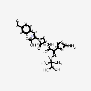 CC(C)(O/N=C(\C(=O)N[C@H]1CN(/C(=C/c2ccc(CCl)cc2)C(=O)O)C1=O)c1csc(N)n1)C(O)O